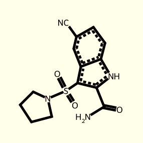 N#Cc1ccc2[nH]c(C(N)=O)c(S(=O)(=O)N3CCCC3)c2c1